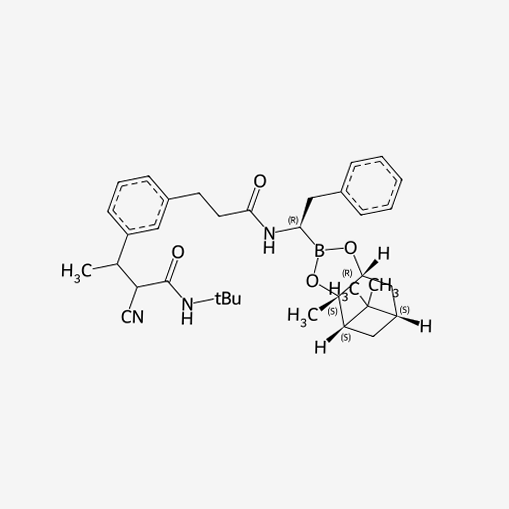 CC(c1cccc(CCC(=O)N[C@@H](Cc2ccccc2)B2O[C@@H]3C[C@@H]4C[C@@H](C4(C)C)[C@]3(C)O2)c1)C(C#N)C(=O)NC(C)(C)C